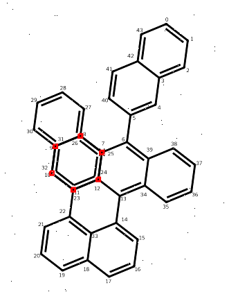 c1ccc2cc(-c3c4ccccc4c(-c4cccc5cccc(-c6cnc7ccccc7c6)c45)c4ccccc34)ccc2c1